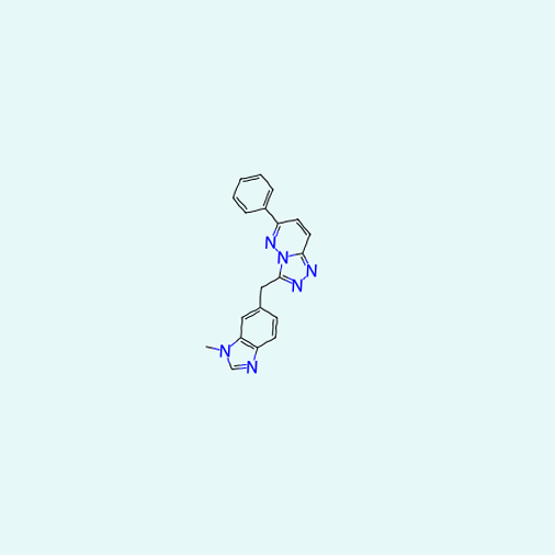 Cn1cnc2ccc(Cc3nnc4ccc(-c5ccccc5)nn34)cc21